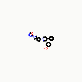 O[C@H]1CC[C@H](c2ccccc2C2CCN([C@@H]3CCC4(C3)CN(c3nnco3)C4)CC2)CC1